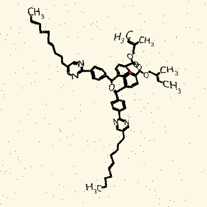 CCCCCCCCCCc1cnc(-c2ccc(C(OC(c3ccc(C(=O)OCC(C)CC)cc3)c3ccc(-c4ncc(CCCCCCCCCC)cn4)cc3)c3ccc(C(=O)OCC(C)CC)cc3)cc2)nc1